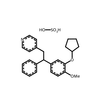 COc1ccc(C(Cc2ccncc2)c2ccccc2)cc1OC1CCCC1.O=S(=O)(O)O